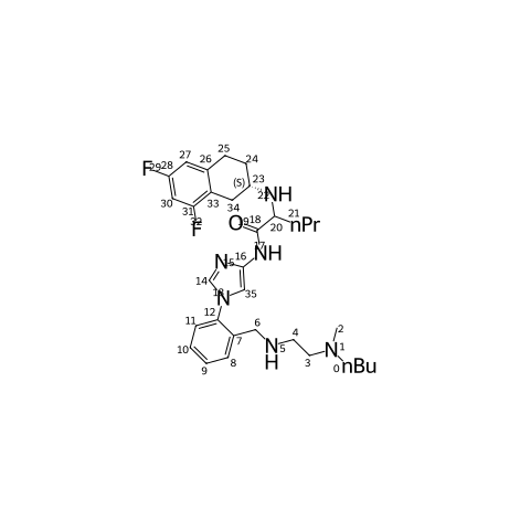 CCCCN(C)CCNCc1ccccc1-n1cnc(NC(=O)C(CCC)N[C@H]2CCc3cc(F)cc(F)c3C2)c1